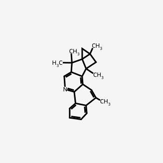 Cc1cc2c3c(cnc2c2ccccc12)C(C)(C)C12CC1(C)CC32C